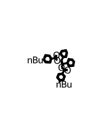 CCCCc1ccc(C(=O)OC(=C(OC(=O)c2ccc(CCCC)cc2)c2ccccc2)c2ccccc2)cc1